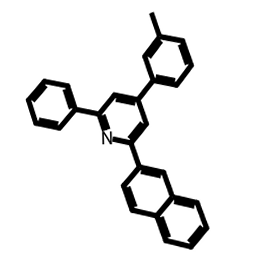 Cc1cccc(-c2cc(-c3ccccc3)nc(-c3ccc4ccccc4c3)c2)c1